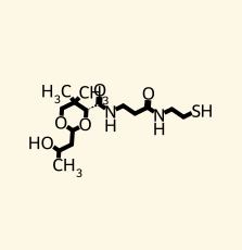 CC(O)CC1OCC(C)(C)[C@H](C(=O)NCCC(=O)NCCS)O1